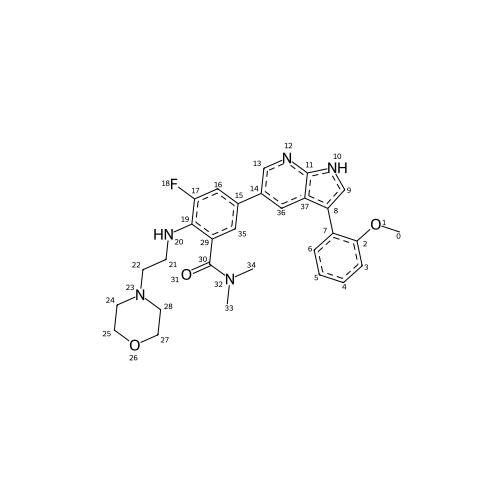 COc1ccccc1-c1c[nH]c2ncc(-c3cc(F)c(NCCN4CCOCC4)c(C(=O)N(C)C)c3)cc12